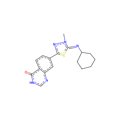 Cn1nc(-c2ccc3c(=O)[nH]cnc3c2)sc1=NC1CCCCC1